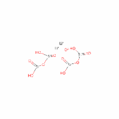 O=[Si](O)O[Si](=O)O.O=[Si](O)O[Si](=O)O.[Li+].[Li+].[O-2]